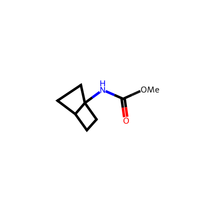 COC(=O)NC12CCC1CC2